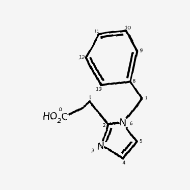 O=C(O)Cc1nccn1Cc1ccccc1